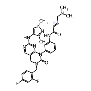 Cc1nn(C)cc1Nc1ncc2c(n1)N(c1cccc(NC(=O)/C=C/CN(C)C)c1)C(=O)N(Cc1ccc(F)cc1F)C2